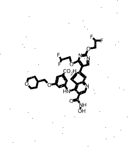 O=C(O)c1cc(Nc2c(C(=O)NO)cnc3cc(-c4cnc(OCC(F)F)nc4OCC(F)F)ccc23)cc(OCC2CCOCC2)c1